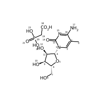 Cc1cn([C@@H]2O[C@H](CO)[C@@H](O)[C@H]2O)c(=O)nc1N.O=C(O)CP(=O)(O)O